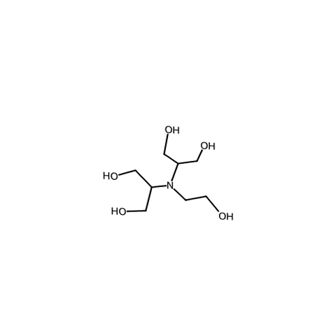 OCCN(C(CO)CO)C(CO)CO